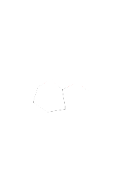 [CH2]OC1CCCCO1